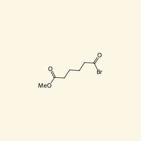 COC(=O)CCCCC(=O)Br